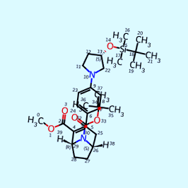 COC(=O)C1=C(c2ccc(N3CC[C@H](O[Si](C)(C)C(C)(C)C)C3)cc2)C[C@@H]2CC[C@H]1N2C(=O)OC(C)(C)C